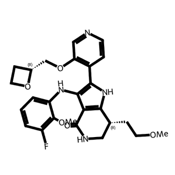 COCC[C@@H]1CNC(=O)c2c1[nH]c(-c1ccncc1OC[C@H]1CCO1)c2Nc1cccc(F)c1OC